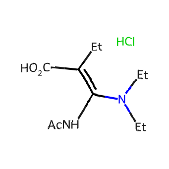 CCC(C(=O)O)=C(NC(C)=O)N(CC)CC.Cl